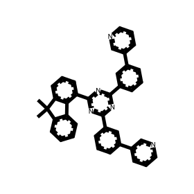 CC1(C)c2ccccc2-c2c(-c3nc(-c4cccc(-c5cccnc5)c4)nc(-c4cccc(-c5cccnc5)c4)n3)cccc21